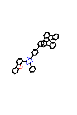 c1ccc(-c2nc(-c3ccc(-c4ccc(-c5cccc6c5C5(c7ccccc7-c7ccccc75)c5ccccc5-6)cc4)cc3)nc(-c3cccc4c3oc3ccccc34)n2)cc1